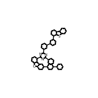 c1ccc(-c2ccc(-c3ccc4oc5cccc(-c6nc(-c7ccccc7)nc(-c7cccc(-c8cccc(-c9cccc%10c9sc9ccccc9%10)c8)c7)n6)c5c4c3)cc2)cc1